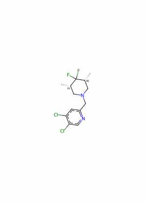 C[C@@H]1CN(Cc2cc(Cl)c(Cl)cn2)C[C@H](C)C1(F)F